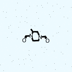 CC1CN(C=O)CCN1C=O